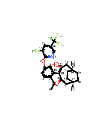 CCc1ccc(Oc2ncc(C(F)(F)F)cc2F)cc1/C1=C(\O)C[C@H]2CC[C@H](CC2)CC1=O